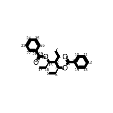 CCC([C@H](CC)OC(=O)c1ccccc1)[C@@H](CC)OC(=O)c1ccccc1